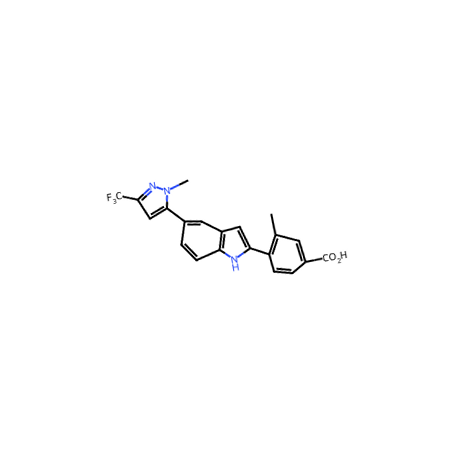 Cc1cc(C(=O)O)ccc1-c1cc2cc(-c3cc(C(F)(F)F)nn3C)ccc2[nH]1